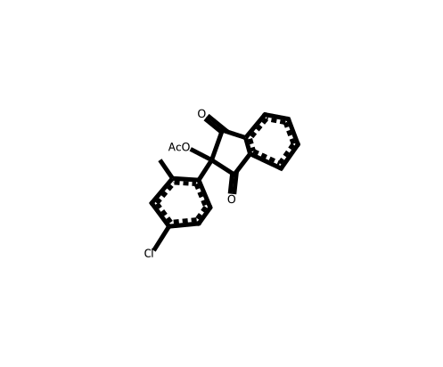 CC(=O)OC1(c2ccc(Cl)cc2C)C(=O)c2ccccc2C1=O